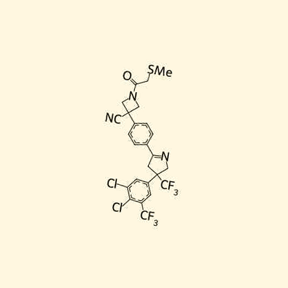 CSCC(=O)N1CC(C#N)(c2ccc(C3=NCC(c4cc(Cl)c(Cl)c(C(F)(F)F)c4)(C(F)(F)F)C3)cc2)C1